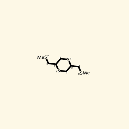 CSCC1CSC(CSC)CS1